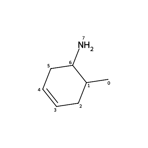 CC1CC=CCC1N